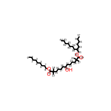 CCCCCCCCCOC(=O)C(C)(C)CCCCC(O)CCCCC(C)(C)C(=O)OCC(CCCCC)CCCCCCC